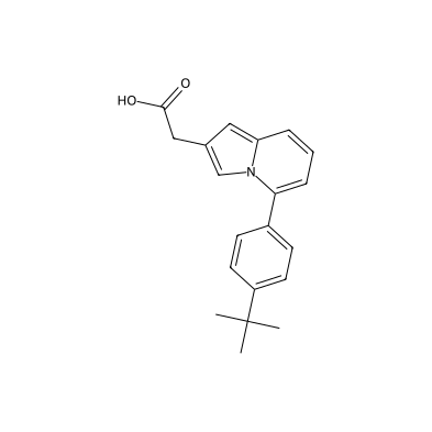 CC(C)(C)c1ccc(-c2cccc3cc(CC(=O)O)cn23)cc1